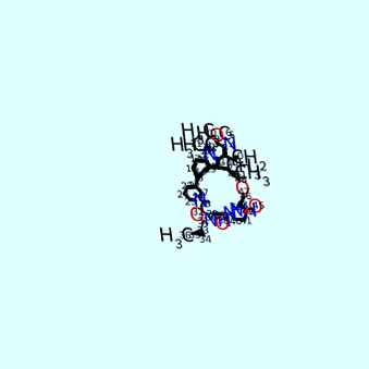 C=C/C(=C(\N=C/C)[C@H](C)OC)c1c2c3cc(ccc3n1CC)C1=CCCN(C1)C[C@H](NC(=O)[C@H]1C[C@@H]1C)C(=O)N1CCC[C@](C=O)(COCC(C)(C)C2)N1